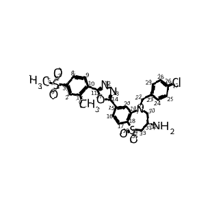 Cc1cc(S(C)(=O)=O)ccc1-c1nnc(-c2ccc3c(c2)N(Cc2ccc(Cl)cc2)C[C@@H](N)CS3(=O)=O)o1